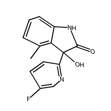 Cc1cccc2c1C(O)(c1ccc(F)cn1)C(=O)N2